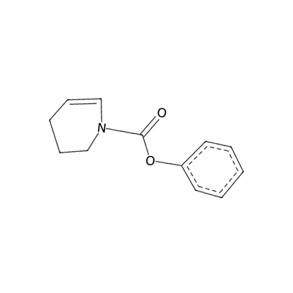 O=C(Oc1ccccc1)N1C=CCCC1